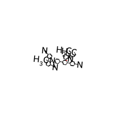 C=Cc1c(/C=C\C)n(-c2cc(C#N)ccc2C2C=CC(C3C=CC(N4c5ccc(C#N)cc5C5(C)C=CC=C(C#N)C45)=CC3)=CC2)c2ccccc12